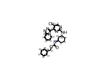 O=C(/N=C1\CCC[C@@H](Nc2ncc(Cl)c(-c3nnc4ccccn34)n2)C1)OCc1ccccc1